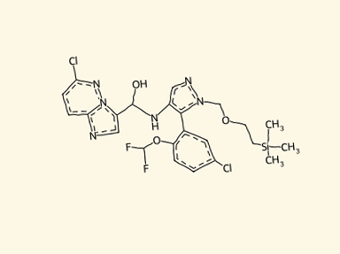 C[Si](C)(C)CCOCn1ncc(NC(O)c2cnc3ccc(Cl)nn23)c1-c1cc(Cl)ccc1OC(F)F